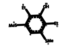 CCc1c(SC)cc(SC)c(CC)c1O